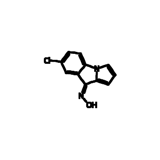 ON=C1c2cc(Cl)ccc2-n2cccc21